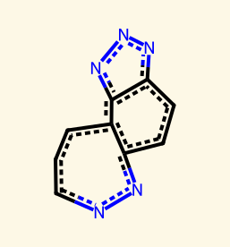 c1cnnc2ccc3nnnc3c2c1